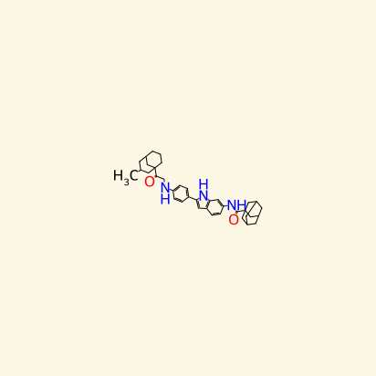 CC1CC2CCCC(C(=O)CNc3ccc(-c4cc5ccc(NC(=O)C67CC8CC(CC(C8)C6)C7)cc5[nH]4)cc3)(C1)C2